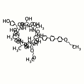 CCCCCOc1ccc(-c2ccc(-c3ccc(C(=O)NC4C[C@@H](O)C(NCCOCCOC)NC(=O)[C@@H]5[C@@H](O)[C@@H](C)CN5C(=O)C([C@@H](C)O)NC(=O)C([C@H](O)[C@@H](O)c5ccc(O)cc5)NC(=O)C5C[C@@H](O)CN5C(=O)C([C@@H](C)O)NC4=O)cc3)cc2)cc1